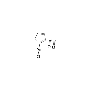 [C]=O.[C]=O.[Cl][Ru][C]1=CC=CC1